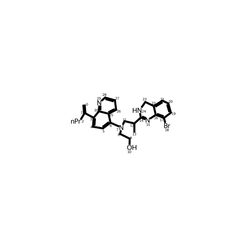 C=C(CCC)c1ccc(N(CCO)CC(C)C2=Nc3c(Br)cccc3CN2)c2cccnc12